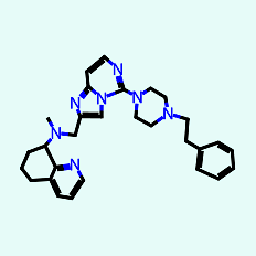 CN(Cc1cn2c(N3CCN(CCc4ccccc4)CC3)nccc2n1)C1CCCc2cccnc21